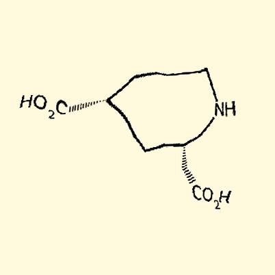 O=C(O)[C@@H]1CCN[C@H](C(=O)O)C1